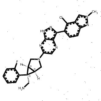 Cn1cc2c(Cl)c(-c3n[nH]c4nc(N5C[C@@H]6[C@H](C5)[C@]6(CN)c5ccccc5F)cnc34)ccc2n1